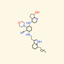 CCc1cccc2c(CCNc3ccc(Nc4ccnc5c4CCC5O)c(N4CCOCC4)c3C#N)c[nH]c12